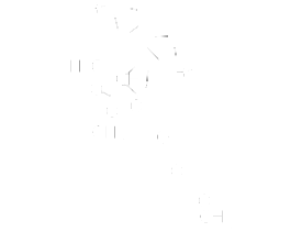 CCOC(=O)c1cc(C2(CC(C)C)c3cc(Br)ccc3-c3ccc(Br)cc32)ccc1OCCOCCOCCOC